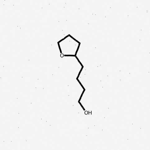 OCCCCC1CCCO1